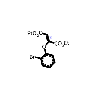 CCOC(=O)/C=C(\Oc1ccccc1Br)C(=O)OCC